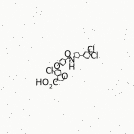 O=C(NC1CCC(c2ccc(Cl)c(Cl)c2)C1)c1ccc(Oc2cc3c(cc2Cl)C(C(=O)O)CCO3)cc1